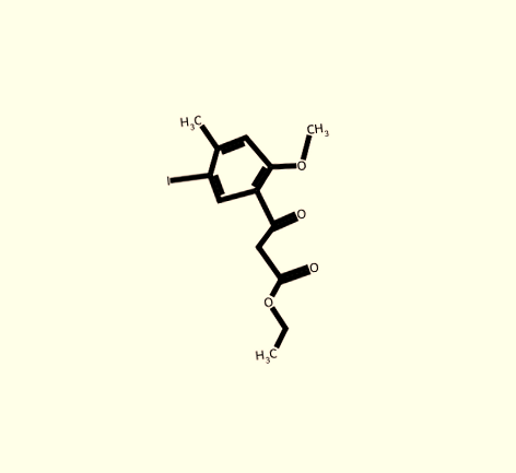 CCOC(=O)CC(=O)c1cc(I)c(C)cc1OC